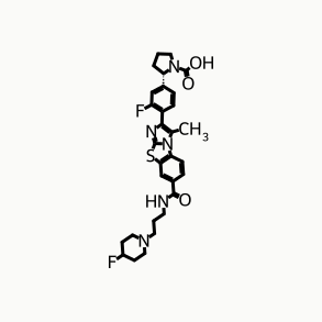 Cc1c(-c2ccc([C@@H]3CCCN3C(=O)O)cc2F)nc2sc3cc(C(=O)NCCCN4CCC(F)CC4)ccc3n12